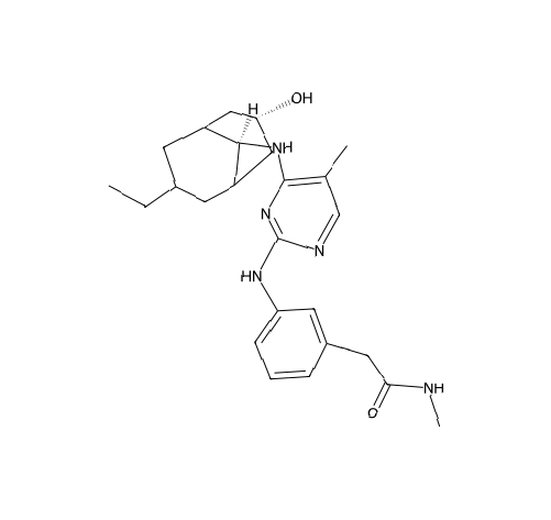 CCC1CC2C[C@H](O)CC(C1)[C@@H]2Nc1nc(Nc2cccc(CC(=O)NC)c2)ncc1C